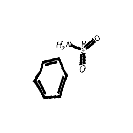 N[SH](=O)=O.c1ccccc1